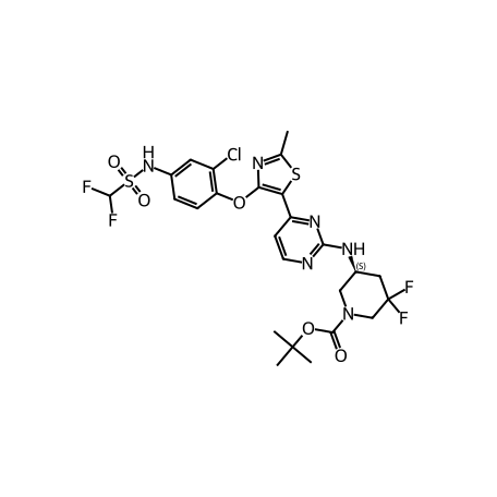 Cc1nc(Oc2ccc(NS(=O)(=O)C(F)F)cc2Cl)c(-c2ccnc(N[C@@H]3CN(C(=O)OC(C)(C)C)CC(F)(F)C3)n2)s1